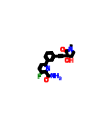 CN1CC[C@@](O)(C#Cc2cccc(-c3ccc(F)c(C(N)=O)n3)c2)C1=O